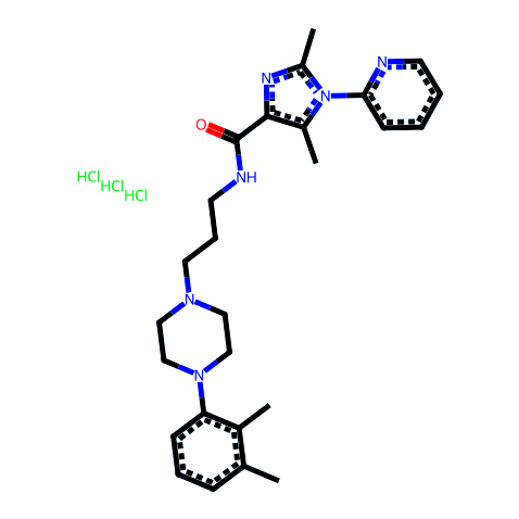 Cc1cccc(N2CCN(CCCNC(=O)c3nc(C)n(-c4ccccn4)c3C)CC2)c1C.Cl.Cl.Cl